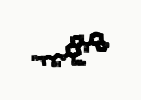 COc1cc2c(Nc3cccc4occc34)ncnc2cc1OCC(O)CN(C)C(C)C